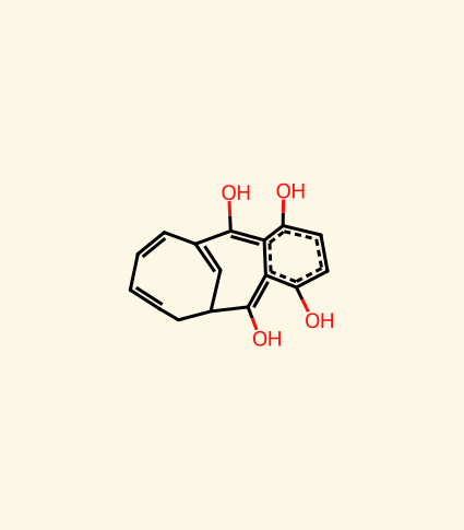 OC1=c2c(O)ccc(O)c2=C(O)C2C=C1/C=C\C=C/C2